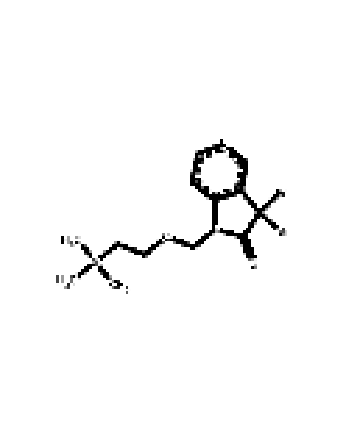 C[Si](C)(C)CCOCN1C(=O)C(Br)(Br)c2cnccc21